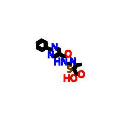 Cc1nc(NC(=O)c2cnc(-c3ccccc3)nc2)sc1C(=O)O